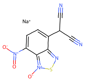 N#CC(C#N)c1ccc([N+](=O)[O-])c2c1ns[n+]2[O-].[Na+]